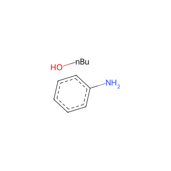 CCCCO.Nc1ccccc1